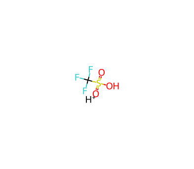 O=S(=O)(O)C(F)(F)F.[H+]